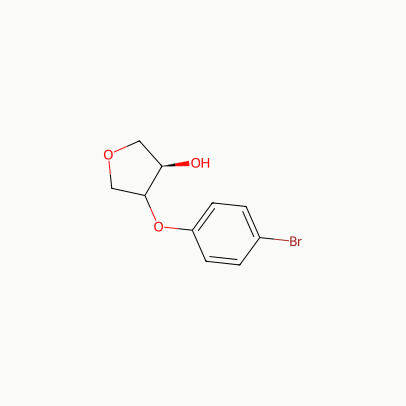 O[C@@H]1COCC1Oc1ccc(Br)cc1